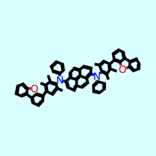 Cc1cc(-c2cccc3c2oc2ccccc23)c(C)c(C)c1N(c1ccccc1)c1ccc2ccc3c(N(c4ccccc4)c4c(C)cc(-c5cccc6c5oc5ccccc56)c(C)c4C)ccc4ccc1c2c43